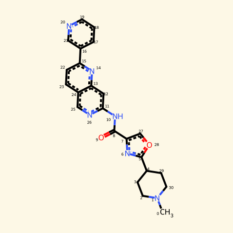 CN1CCC(c2nc(C(=O)Nc3cc4nc(-c5cccnc5)ccc4cn3)co2)CC1